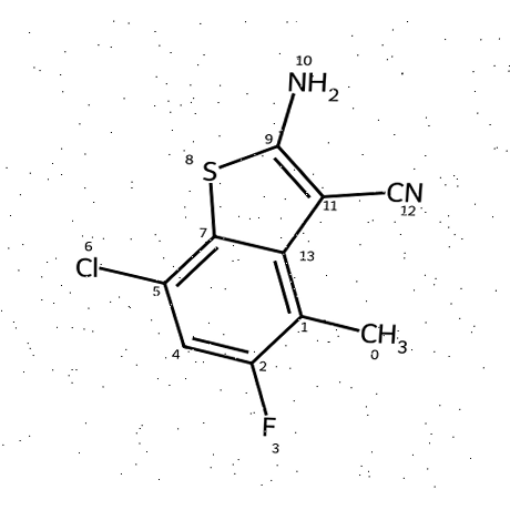 Cc1c(F)cc(Cl)c2sc(N)c(C#N)c12